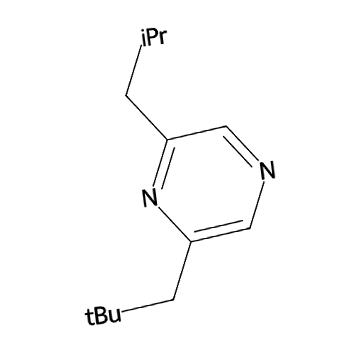 CC(C)Cc1cncc(CC(C)(C)C)n1